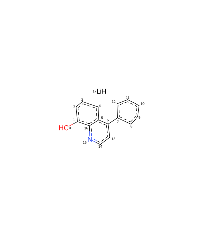 Oc1cccc2c(-c3ccccc3)ccnc12.[LiH]